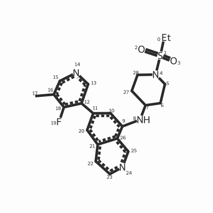 CCS(=O)(=O)N1CCC(Nc2cc(-c3cncc(C)c3F)cc3ccncc23)CC1